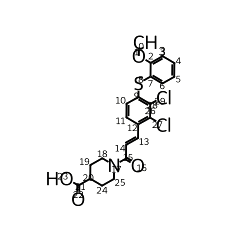 COc1ccccc1Sc1ccc(/C=C/C(=O)N2CCC(C(=O)O)CC2)c(Cl)c1Cl